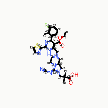 CCOC(=O)C1=C(CN2CCN3/C(=N\C#N)N(CC(C)(C)C(=O)O)CC3C2)NC(c2nccs2)=NC1c1cccc(F)c1C